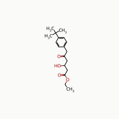 CCOC(=O)CC(O)CC(=O)Cc1ccc(C(C)(C)C)cc1